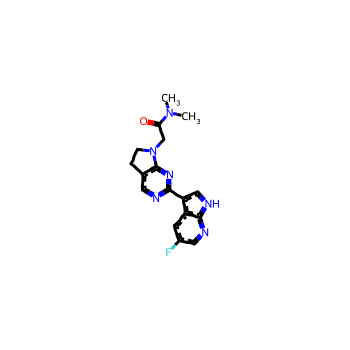 CN(C)C(=O)CN1CCc2cnc(-c3c[nH]c4ncc(F)cc34)nc21